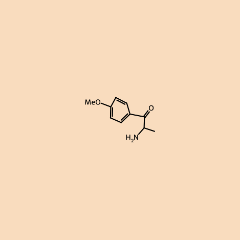 COc1ccc(C(=O)C(C)N)cc1